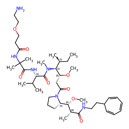 CC[C@H](C)[C@@H]([C@@H](CC(=O)N1CCC[C@H]1[C@H](OC)[C@@H](C)C(=O)NCCC1C=CC=CC=C1)OC)N(C)C(=O)[C@@H](NC(=O)C(C)(C)NC(=O)CCOCCN)C(C)C